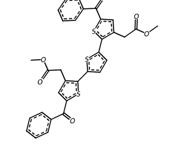 COC(=O)Cc1cc(C(=O)c2ccccc2)sc1-c1ccc(-c2sc(C(=O)c3ccccc3)cc2CC(=O)OC)s1